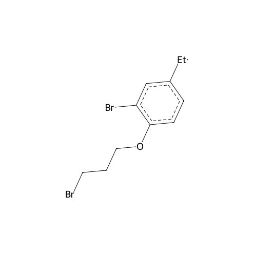 C[CH]c1ccc(OCCCBr)c(Br)c1